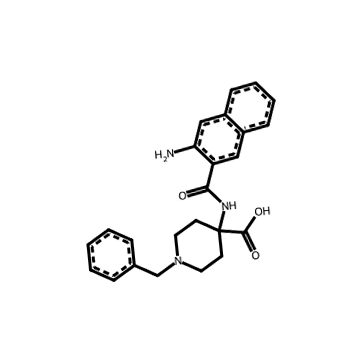 Nc1cc2ccccc2cc1C(=O)NC1(C(=O)O)CCN(Cc2ccccc2)CC1